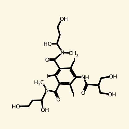 CN(C(=O)c1c(I)c(NC(=O)C(CO)CO)c(I)c(C(=O)N(C)C(O)CCO)c1I)C(O)CCO